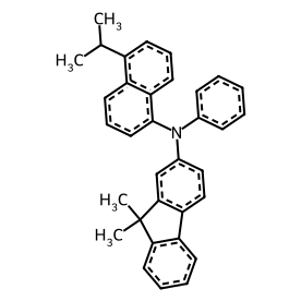 CC(C)c1cccc2c(N(c3ccccc3)c3ccc4c(c3)C(C)(C)c3ccccc3-4)cccc12